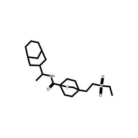 CCS(=O)(=O)CCC12CCC(C(=O)NC(C)C3CC4CCCC(C4)C3)(CC1)CC2